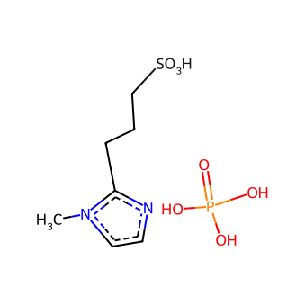 Cn1ccnc1CCCS(=O)(=O)O.O=P(O)(O)O